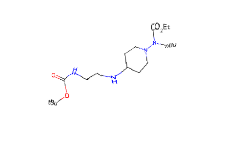 CCCCN(C(=O)OCC)N1CCC(NCCNC(=O)OC(C)(C)C)CC1